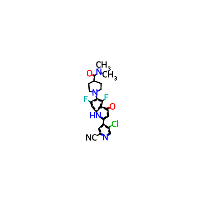 CN(C)C(=O)C1CCN(c2c(F)cc3[nH]c(-c4cc(C#N)ncc4Cl)cc(=O)c3c2F)CC1